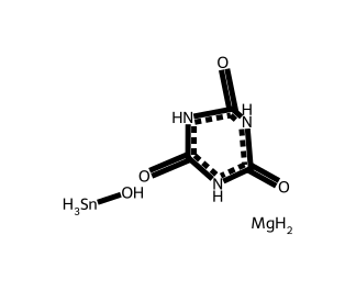 O=c1[nH]c(=O)[nH]c(=O)[nH]1.[MgH2].[OH][SnH3]